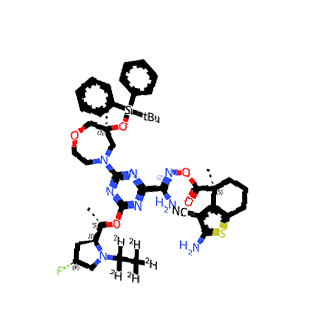 [2H]C([2H])([2H])C([2H])([2H])N1C[C@H](F)C[C@H]1[C@H](C)Oc1nc(/C(N)=N/OC(=O)[C@@]2(C)CCCc3sc(N)c(C#N)c32)nc(N2CCOC[C@@](C)(O[Si](c3ccccc3)(c3ccccc3)C(C)(C)C)C2)n1